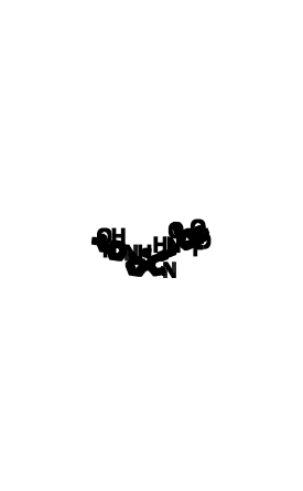 COc1cc(S(C)(=O)=O)c(F)cc1NCC#Cc1sc2c(NC3CCN(CC(C)O)CC3)cccc2c1CC#N